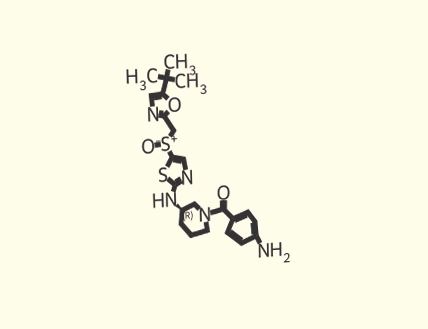 CC(C)(C)c1cnc(C[S+]([O-])c2cnc(N[C@@H]3CCCN(C(=O)c4ccc(N)cc4)C3)s2)o1